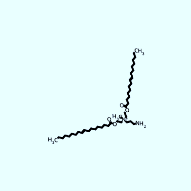 CCCCCCCCC=CCCCCCCCC(=O)OCC[N+](C)(CCCN)CCOC(=O)CCCCCCCC=CCCCCCCCC